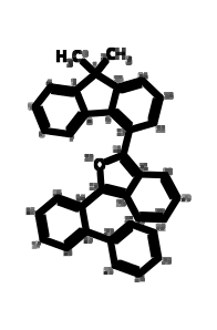 CC1(C)c2ccccc2-c2c(-c3oc(-c4ccccc4-c4ccccc4)c4ccccc34)cccc21